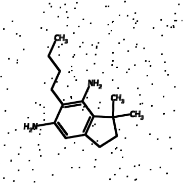 CCCCc1c(N)cc2c(c1N)C(C)(C)CC2